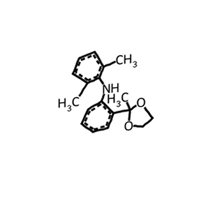 Cc1cccc(C)c1Nc1ccccc1C1(C)OCCO1